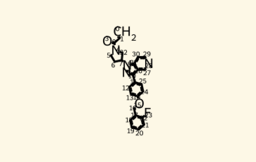 C=CC(=O)N1CCC(n2nc(-c3ccc(OCc4ccccc4F)cc3)c3cnccc32)C1